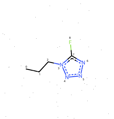 CCCn1nnnc1F